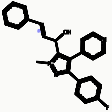 Cn1nc(-c2ccc(F)cc2)c(-c2ccncc2)c1C(O)/C=C/c1ccccc1